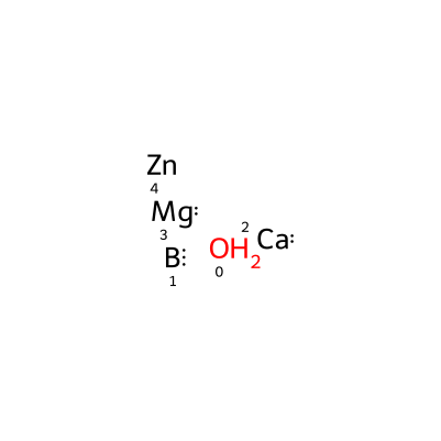 O.[B].[Ca].[Mg].[Zn]